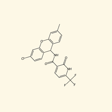 Cc1ccc2c(c1)Oc1cc(Cl)ccc1C2NC(=O)c1ccc(C(F)(F)F)[nH]c1=O